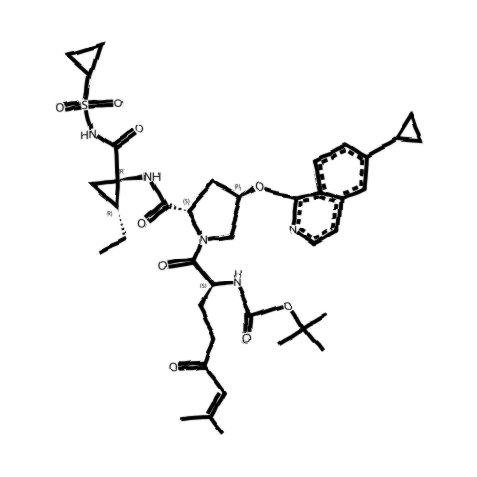 CC[C@@H]1C[C@]1(NC(=O)[C@@H]1C[C@@H](Oc2nccc3cc(C4CC4)ccc23)CN1C(=O)[C@H](CCC(=O)C=C(C)C)NC(=O)OC(C)(C)C)C(=O)NS(=O)(=O)C1CC1